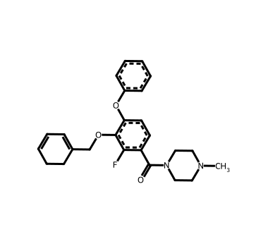 CN1CCN(C(=O)c2ccc(Oc3ccccc3)c(OCC3=CC=CCC3)c2F)CC1